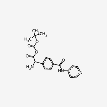 CC(C)(C)OC(=O)OC(=O)C(N)c1ccc(C(=O)Nc2ccncc2)cc1